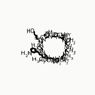 CC[C@@H]1NC(=O)[C@H]([C@H](O)[C@H](C)CCCc2cccc(N)c2)N(C)C(=O)[C@H](C(C)C)N(C)C(=O)[C@H](CC(C)C)N(C)C(=O)[C@H](CC(C)C)N(C)C(=O)[C@H](C)NC(=O)[C@@H](C)NC(=O)[C@@H](CC(C)C)N(C)C(=O)[C@@H](C(C)C)NC(=O)[C@H](CC(C)C)N(C)C(=O)[C@@H](CSCCCCO)N(C)C1=O